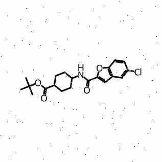 CC(C)(C)OC(=O)C1CCC(NC(=O)c2cc3cc(Cl)ccc3o2)CC1